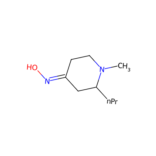 CCCC1C/C(=N/O)CCN1C